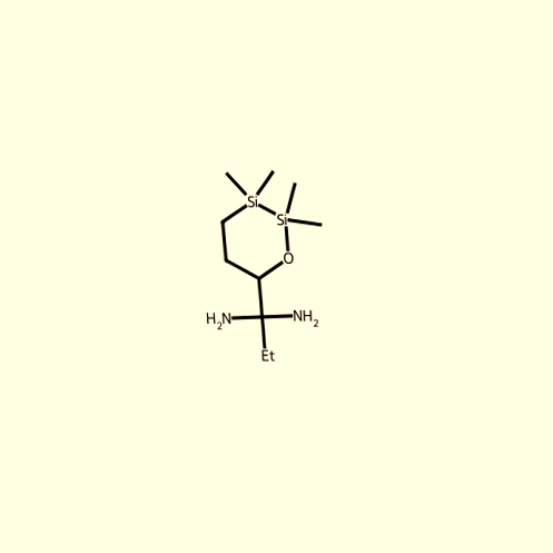 CCC(N)(N)C1CC[Si](C)(C)[Si](C)(C)O1